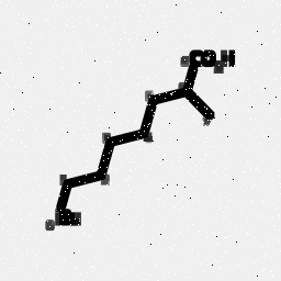 CCC(C)CCCCCC(C)C(=O)O